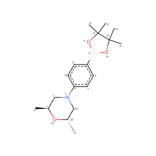 C[C@H]1CN(c2ccc(B3OC(C)(C)C(C)(C)O3)cc2)C[C@H](C)O1